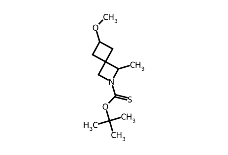 COC1CC2(C1)CN(C(=S)OC(C)(C)C)C2C